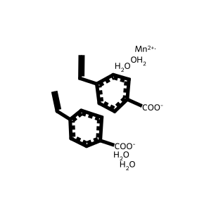 C=Cc1ccc(C(=O)[O-])cc1.C=Cc1ccc(C(=O)[O-])cc1.O.O.O.O.[Mn+2]